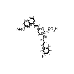 COc1ccc2nccc(C=C[C@@H]3CC[C@@H](NC/C=C/c4cc(F)ccc4F)[C@@H](CC(=O)O)O3)c2n1